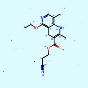 CCOc1ncc(C)c2c1CC(C(=O)OCCC#N)=C(C)N2